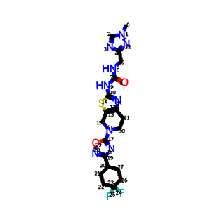 Cn1cnc(CNC(=O)Nc2nc3c(s2)CN(c2nc(C4CCC(F)(F)CC4)no2)CC3)n1